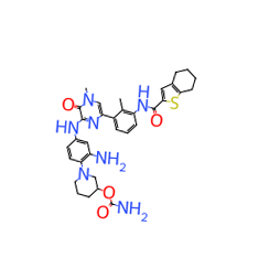 Cc1c(NC(=O)c2cc3c(s2)CCCC3)cccc1-c1cn(C)c(=O)c(Nc2ccc(N3CCCC(OC(N)=O)C3)c(N)c2)n1